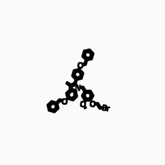 COc1cc(Cn2c(-c3ccc(OCc4ccccc4)cc3)c(C)c3cc(OCc4ccccc4)ccc32)ccc1OCCBr